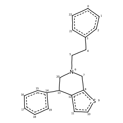 c1ccc(CCN2Cc3sccc3C(c3ccccc3)C2)cc1